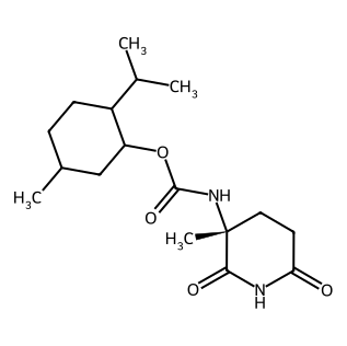 CC1CCC(C(C)C)C(OC(=O)N[C@]2(C)CCC(=O)NC2=O)C1